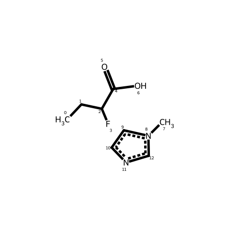 CCC(F)C(=O)O.Cn1ccnc1